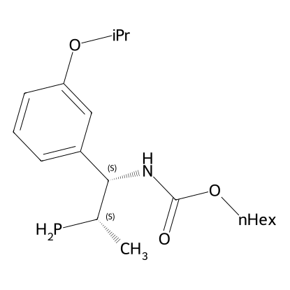 CCCCCCOC(=O)N[C@@H](c1cccc(OC(C)C)c1)[C@H](C)P